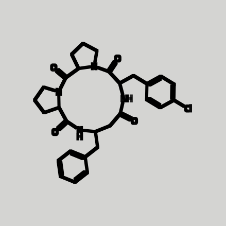 O=C1CC(Cc2ccccc2)NC(=O)C2CCCN2C(=O)C2CCCN2C(=O)C(Cc2ccc(Cl)cc2)N1